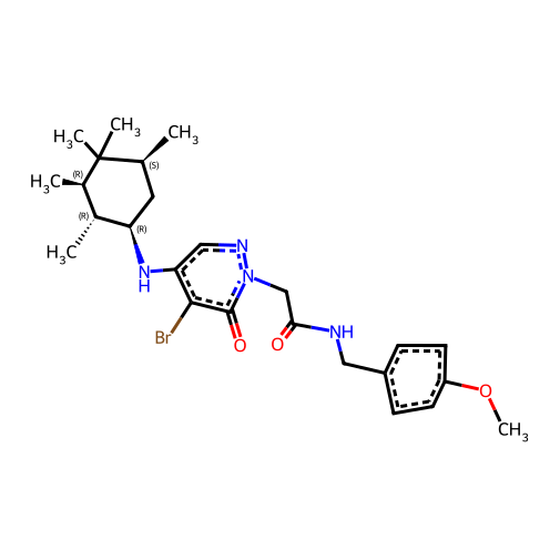 COc1ccc(CNC(=O)Cn2ncc(N[C@@H]3C[C@H](C)C(C)(C)[C@H](C)[C@H]3C)c(Br)c2=O)cc1